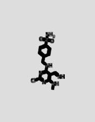 CNc1nc(Cl)nc(NCc2ccc(S(N)(=O)=O)cc2)c1C=N